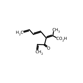 C=CC=CC(C(=O)C=C)=C(C)C(=O)O